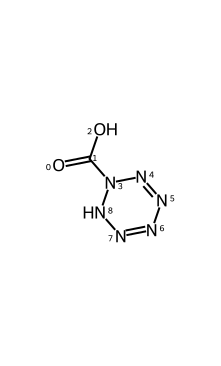 O=C(O)N1N=NN=NN1